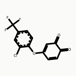 O=C1C=CC(Oc2ccc(C(F)(F)F)cc2Cl)=CC1=O